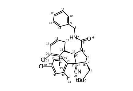 CC(C)(C)C[C@@H]1CN(C(=O)NCc2ccccc2)[C@H](C2CC=CC(Cl)=C2F)[C@@]1(C#N)c1ccc(Cl)cc1F